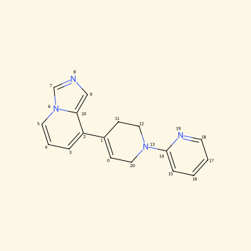 C1=C(c2cccn3cncc23)CCN(c2ccccn2)C1